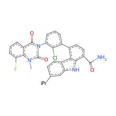 CC(C)c1ccc2c(c1)[nH]c1c(C(N)=O)ccc(-c3cccc(-n4c(=O)c5cccc(F)c5n(C)c4=O)c3Cl)c12